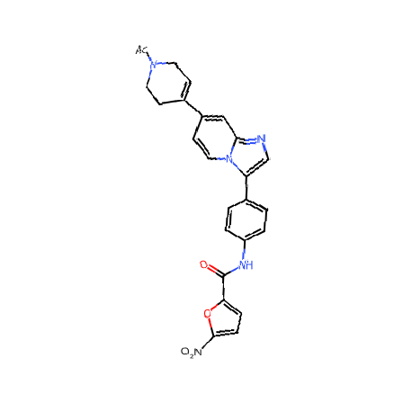 CC(=O)N1CC=C(c2ccn3c(-c4ccc(NC(=O)c5ccc([N+](=O)[O-])o5)cc4)cnc3c2)CC1